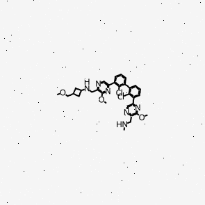 CNCc1ncc(-c2cccc(-c3cccc(-c4cnc(CNC5CC(COC)C5)c(OC)n4)c3Cl)c2Cl)nc1OC